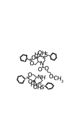 COCCOC(=O)N1C[C@H](Sc2ccccc2)[C@@H](O)[C@@H]2O[C@H](c3ccccc3)OCC21.O[C@@H]1[C@@H](Sc2ccccc2)CNC2CO[C@@H](c3ccccc3)O[C@H]21